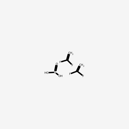 C=C(F)F.C=C(F)F.O=S(O)O